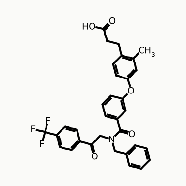 Cc1cc(Oc2cccc(C(=O)N(CC(=O)c3ccc(C(F)(F)F)cc3)Cc3ccccc3)c2)ccc1CCC(=O)O